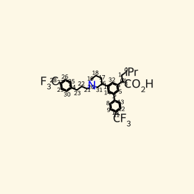 CC(C)C[C@H](C(=O)O)c1cc(-c2ccc(C(F)(F)F)cc2)cc(C2CCCN(CCCc3ccc(C(F)(F)F)cc3)C2)c1